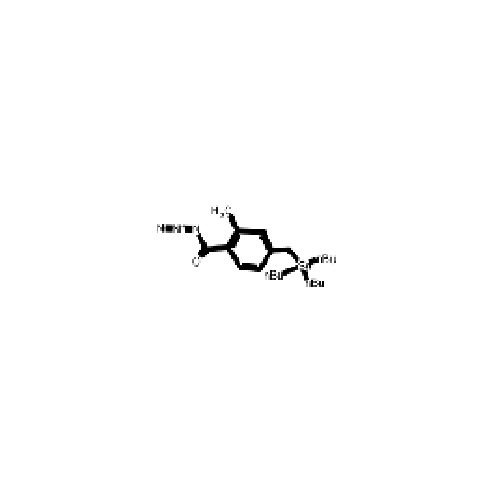 CCC[CH2][Sn]([CH2]CCC)([CH2]CCC)[CH2]c1ccc(C(=O)N=[N+]=[N-])c(C)c1